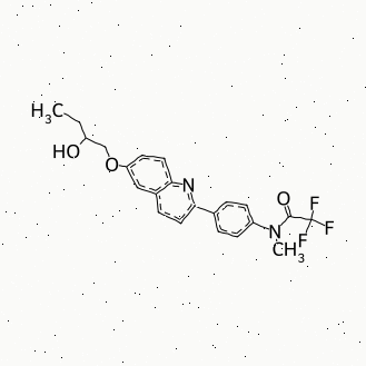 CCC(O)COc1ccc2nc(-c3ccc(N(C)C(=O)C(F)(F)F)cc3)ccc2c1